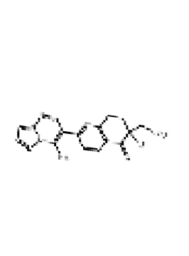 CCC1(CC(=O)O)CCc2cc(-c3cnc4ccnn4c3N)ccc2C1=O